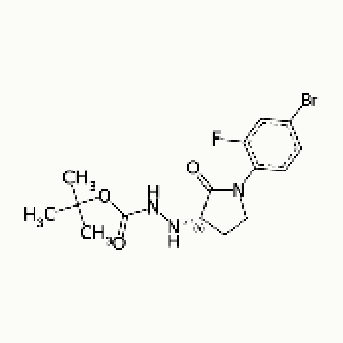 CC(C)(C)OC(=O)NN[C@H]1CCN(c2ccc(Br)cc2F)C1=O